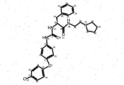 O=C(Nc1ccc(Oc2ccc(Cl)cc2)cc1)N[C@@H](Cc1ccccc1)C(=O)NCCN1CCCC1